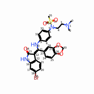 CN(C)CCN(c1ccc(N/C(=C2\C(=O)Nc3cc(Br)ccc32)c2ccc3c(c2)OCO3)cc1)S(C)(=O)=O